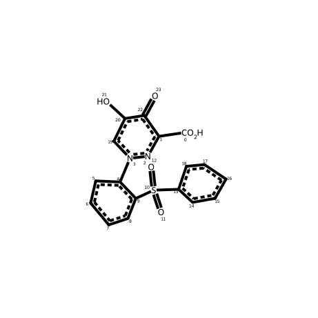 O=C(O)c1nn(-c2ccccc2S(=O)(=O)c2ccccc2)cc(O)c1=O